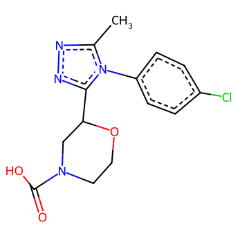 Cc1nnc(C2CN(C(=O)O)CCO2)n1-c1ccc(Cl)cc1